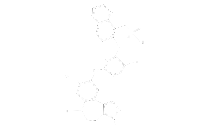 COc1cc2c(cc1Nc1ncc(Br)c(Nc3ccc4nccnc4c3CS(N)(=O)=O)n1)-c1cnn(C)c1CCN2C(C)C